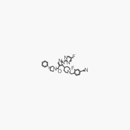 N#Cc1ccc(CN2CCC(c3c(C(=O)N4CC[C@H](c5ccccc5)C4)cnn3-c3ncc(F)cn3)CC2)c(F)c1